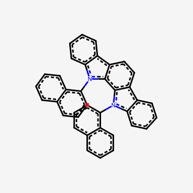 c1ccc2c(-n3c4ccccc4c4ccc5c6ccccc6n(-c6cccc7ccccc67)c5c43)cccc2c1